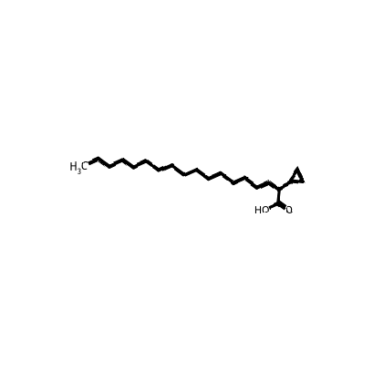 CCCCCCCCCCCCCCCCC(C(=O)O)C1CC1